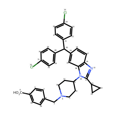 O=C(O)c1ccc(CN2CCC(n3c(C4CC4)nc4ccc(C(c5ccc(Cl)cc5)c5ccc(Cl)cc5)cc43)CC2)cc1